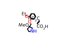 CCOc1ccccc1OCC1(OC)CCNC1.O=C(O)C=CC(=O)O